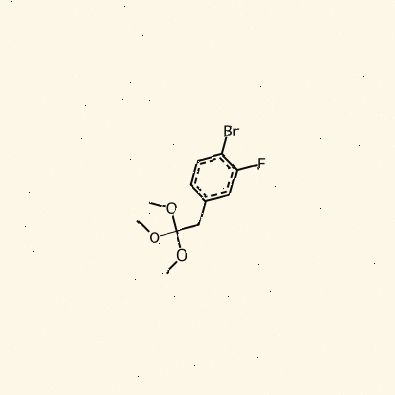 COC(Cc1ccc(Br)c(F)c1)(OC)OC